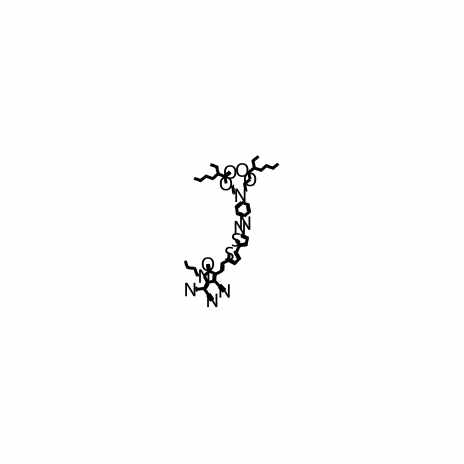 CCCCC(CC)C(=O)OCCN(CCOC(=O)C(CC)CCCC)c1ccc(/N=N/c2ccc(-c3ccc(/C=C/C4=C(C#N)C(=C(C#N)C#N)N(CCCC)C4=O)s3)s2)cc1